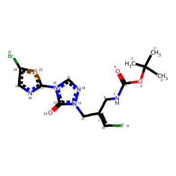 CC(C)(C)OC(=O)NC/C(=C\F)Cn1ncn(-c2ncc(Br)s2)c1=O